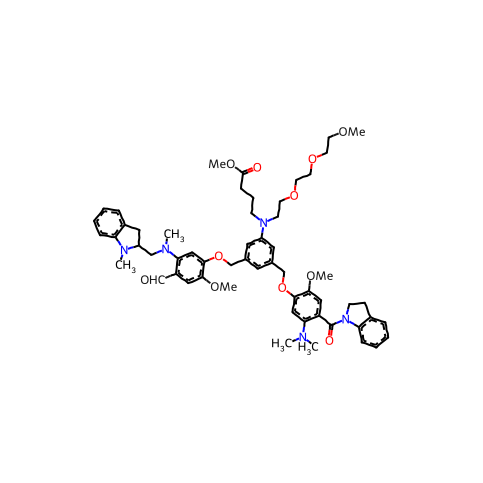 COCCOCCOCCN(CCCC(=O)OC)c1cc(COc2cc(N(C)C)c(C(=O)N3CCc4ccccc43)cc2OC)cc(COc2cc(N(C)CC3Cc4ccccc4N3C)c(C=O)cc2OC)c1